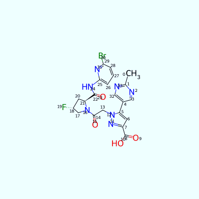 Cc1ncc(-c2cc(C(=O)O)nn2CC(=O)N2C[C@H](F)C[C@H]2C(=O)Nc2cccc(Br)n2)cn1